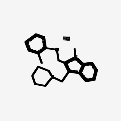 Cc1ccccc1OCc1c(CN2CCCCC2)c2ccccc2n1C.Cl